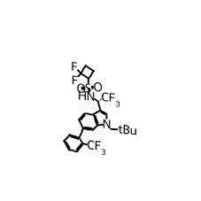 CC(C)(C)Cn1cc([C@H](NS(=O)(=O)C2CCC2(F)F)C(F)(F)F)c2ccc(-c3ccccc3C(F)(F)F)cc21